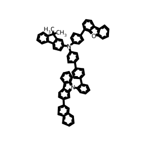 CC1(C)c2ccccc2-c2ccc(N(c3ccc(-c4ccc(-c5ccccc5-n5c6ccccc6c6ccc(-c7ccc8ccccc8c7)cc65)cc4)cc3)c3ccc(-c4cccc5c4oc4ccccc45)cc3)cc21